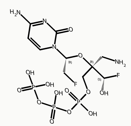 NC[C@](COP(=O)(O)OP(=O)(O)OP(=O)(O)O)(O[C@H](CF)n1ccc(N)nc1=O)[C@@H](O)F